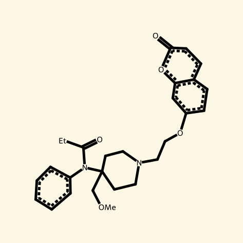 CCC(=O)N(c1ccccc1)C1(COC)CCN(CCOc2ccc3ccc(=O)oc3c2)CC1